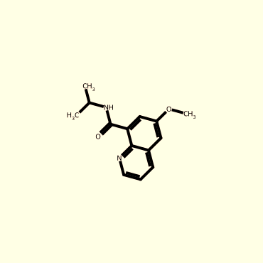 COc1cc(C(=O)NC(C)C)c2ncccc2c1